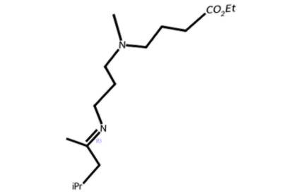 CCOC(=O)CCCN(C)CCC/N=C(\C)CC(C)C